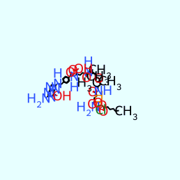 CCCCCC(=O)O[PH](N)(Cl)OC(=O)CCC(=O)NCCC(C)(C)OCCC(C)(C)NC(=O)CCC(NC(=O)c1ccc(CNc2cnc3nc(N)nc(O)c3n2)cc1)C(=O)O